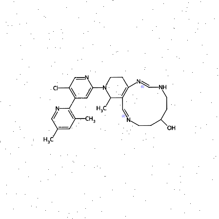 Cc1cnc(-c2cc(N3CCC4=C(/C=N\CCC(O)CCN/C=N/4)C3C)ncc2Cl)c(C)c1